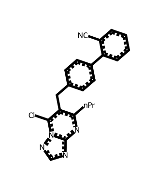 CCCc1nc2ncnn2c(Cl)c1Cc1ccc(-c2ccccc2C#N)cc1